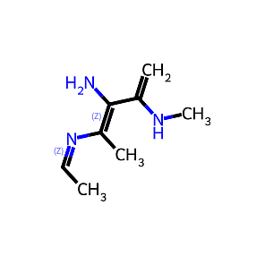 C=C(NC)/C(N)=C(C)/N=C\C